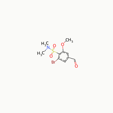 COc1cc(C=O)cc(Br)c1S(=O)(=O)N(C)C